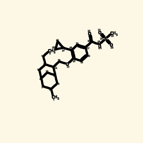 CCC1CC2CC(C)CC(C2)C1COc1ccc(C(=O)NS(C)(=O)=O)cc1C1CC1